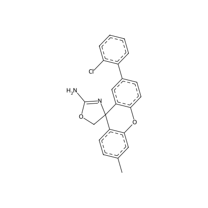 Cc1ccc2c(c1)Oc1ccc(-c3ccccc3Cl)cc1C21COC(N)=N1